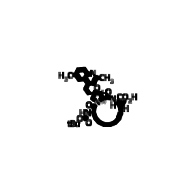 Cc1ccc2nc(C)c3c(c2c1)CC[C@]1(C[C@H]2C(=O)N[C@]4(C(=O)O)C[C@H]4C=CCCCCC[C@H](NC(=O)OC(C)(C)C)C(=O)N2C1)O3